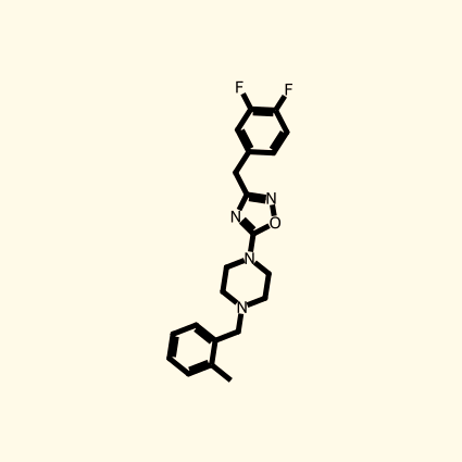 Cc1ccccc1CN1CCN(c2nc(Cc3ccc(F)c(F)c3)no2)CC1